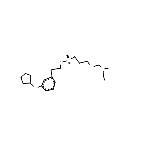 CCOC(=O)N(COCCCS(=O)(=O)NCCc1cccc(OC2CCCC2)c1)CC(=O)O